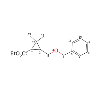 CCOC(=O)C1C(COCc2ccccc2)C1(C)C